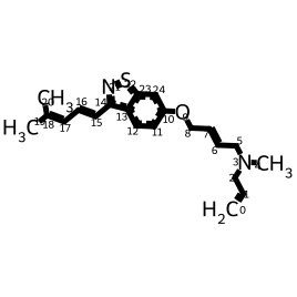 C=CCN(C)CC=CCOc1ccc2c(C=CC=C(C)C)nsc2c1